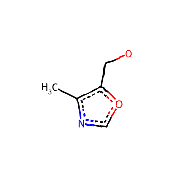 Cc1ncoc1C[O]